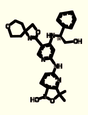 CC1(C)OB(O)c2ccc(Nc3cc(N[C@H](CO)c4ccccc4)c(C4=NC5(CCOCC5)CO4)cn3)nc21